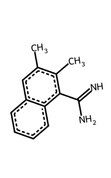 Cc1cc2ccccc2c(C(=N)N)c1C